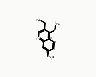 CCCCOc1c(CC(F)(F)F)cnc2cc(C(=O)O)ccc12